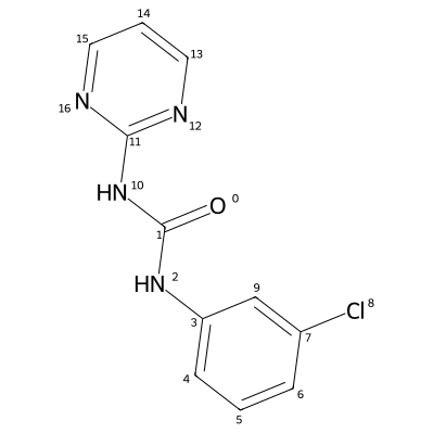 O=C(Nc1cccc(Cl)c1)Nc1ncccn1